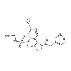 CC(C)CNS(=O)(=O)c1cc2c(c3cnc(C4CC4)cc13)C(NCc1cccnc1)CC2